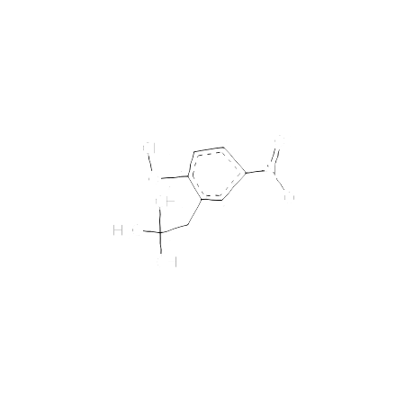 COc1ccc([N+](=O)[O-])cc1CC(C)(C)C